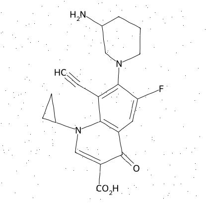 C#Cc1c(N2CCCC(N)C2)c(F)cc2c(=O)c(C(=O)O)cn(C3CC3)c12